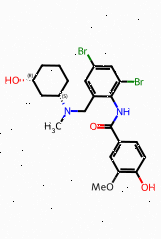 COc1cc(C(=O)Nc2c(Br)cc(Br)cc2CN(C)[C@H]2CCC[C@@H](O)C2)ccc1O